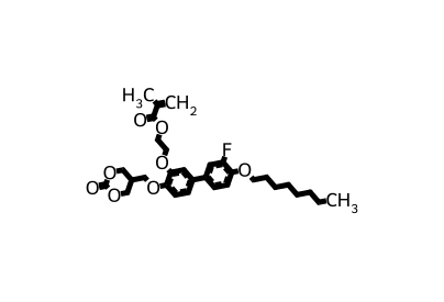 C=C(C)C(=O)OCCOc1cc(-c2ccc(OCCCCCCCC)c(F)c2)ccc1OCC1COC(=O)OC1